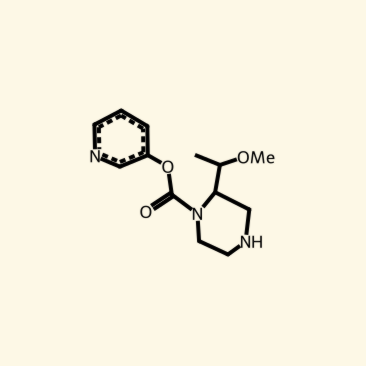 COC(C)C1CNCCN1C(=O)Oc1cccnc1